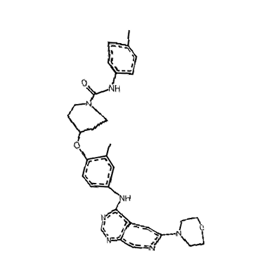 Cc1ccc(NC(=O)N2CCC(Oc3ccc(Nc4ncnc5cnc(N6CCOCC6)cc45)cc3C)CC2)cc1